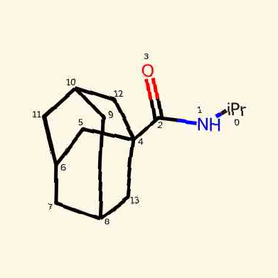 CC(C)NC(=O)C12CC3CC(CC(C3)C1)C2